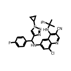 CC(C)C(C)(C)Nc1c(C#N)cnc2c(Cl)cc(NC(c3ccc(F)cc3)c3cn(C4CC4)nn3)cc12